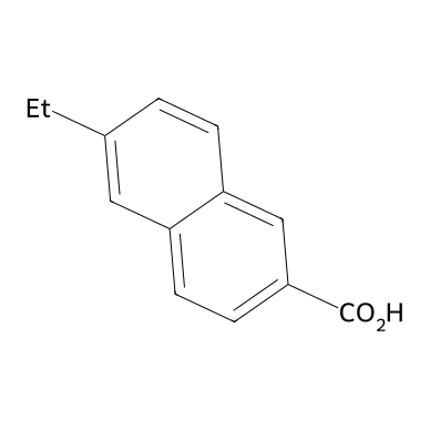 CCc1ccc2cc(C(=O)O)ccc2c1